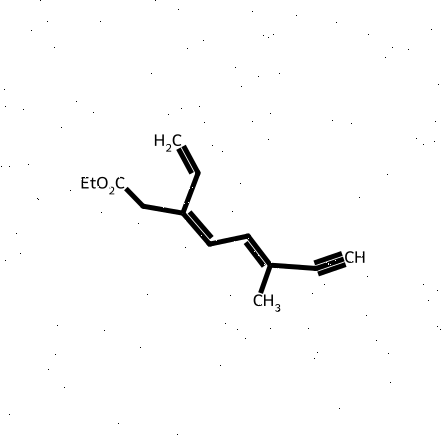 C#C/C(C)=C/C=C(\C=C)CC(=O)OCC